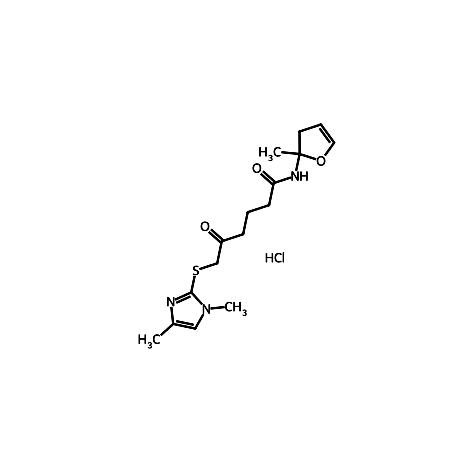 Cc1cn(C)c(SCC(=O)CCCC(=O)NC2(C)CC=CO2)n1.Cl